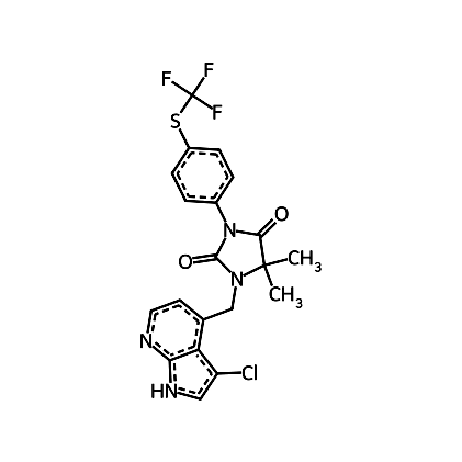 CC1(C)C(=O)N(c2ccc(SC(F)(F)F)cc2)C(=O)N1Cc1ccnc2[nH]cc(Cl)c12